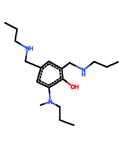 CCCNCc1cc(CNCCC)c(O)c(N(C)CCC)c1